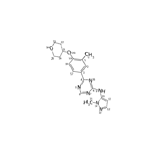 Cc1cc(-c2ncnc(Nc3ccnn3C)n2)ccc1OC1CCOCC1